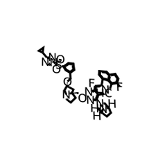 C#Cc1c(F)ccc2cccc(-c3ncc4c(N5C[C@H]6CC[C@@H](C5)N6)nc(OC[C@@]56CCCN5C[C@H](OCc5cccc(S(=O)(=O)n7cnc(C8CC8)n7)c5)C6)nc4c3F)c12